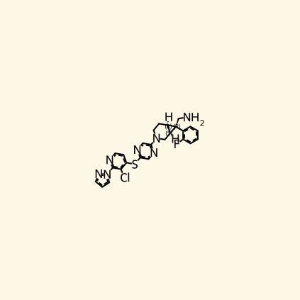 NC[C@]1(c2ccccc2F)[C@@H]2CCN(c3cnc(Sc4ccnc(-n5cccn5)c4Cl)cn3)C[C@@H]21